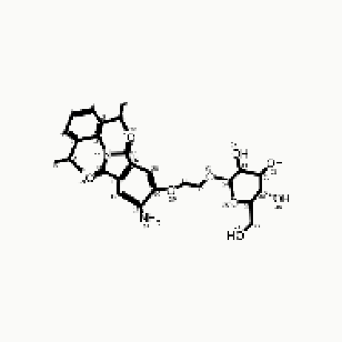 CC(C)c1cccc(C(C)C)c1N1C(=O)c2cc(N)c(OCCO[C@@H]3OC(CO)[C@@H](O)C(O)C3O)cc2C1=O